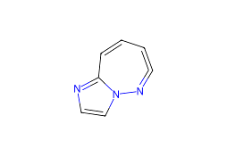 C1=CC=Cc2nccn2N=1